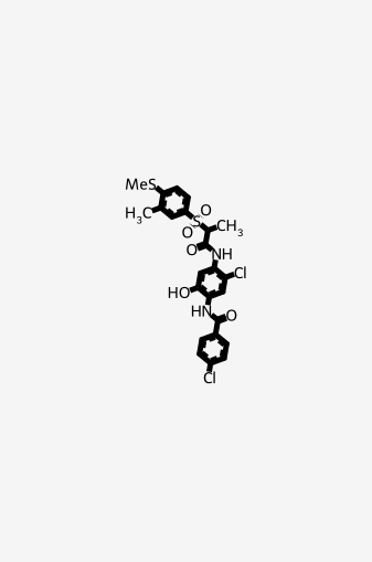 CSc1ccc(S(=O)(=O)C(C)C(=O)Nc2cc(O)c(NC(=O)c3ccc(Cl)cc3)cc2Cl)cc1C